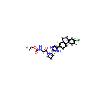 COC(=O)NCC(=O)N1CCC[C@H]1c1ncc(-c2ccc3c(c2)CCc2cc(Br)ccc2-3)[nH]1